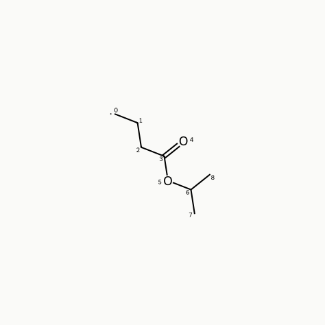 [CH2]CCC(=O)OC(C)C